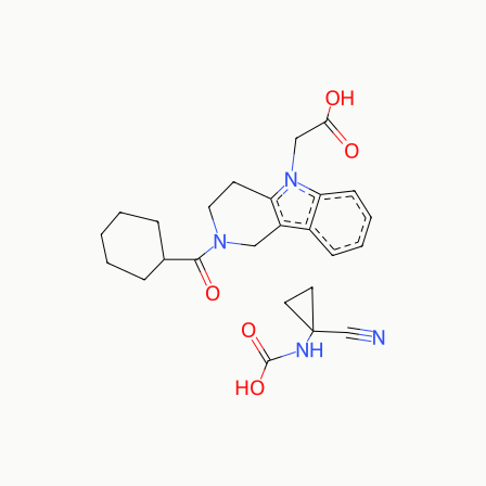 N#CC1(NC(=O)O)CC1.O=C(O)Cn1c2c(c3ccccc31)CN(C(=O)C1CCCCC1)CC2